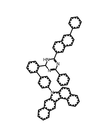 c1ccc(C2=NC(c3ccccc3-c3ccc(-n4c5cc6ccccc6cc5c5c6ccccc6ccc54)cc3)NC(c3ccc4cc(-c5ccccc5)ccc4c3)=N2)cc1